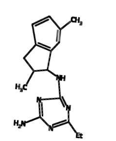 CCc1nc(N)nc(NC2c3cc(C)ccc3CC2C)n1